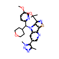 COc1ccc(C(C2CCOCC2)n2c3cc(-c4c(C)nnn4C)cnc3c3snc(C(C)(C)O)c32)nc1